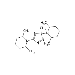 CC1CCCC(C)N1C1=NC(C)(N2C(C)CCCC2C)N=N1